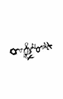 CC(C)(C)OC(=O)N[C@H](COCc1ccccc1)C(=O)NNc1cccc(CO[Si](C)(C)C(C)(C)C)c1